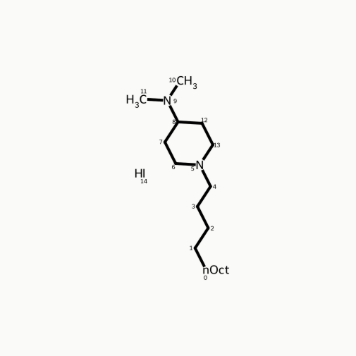 CCCCCCCCCCCCN1CCC(N(C)C)CC1.I